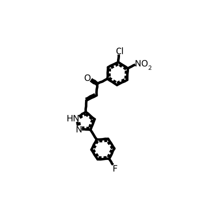 O=C(C=Cc1cc(-c2ccc(F)cc2)n[nH]1)c1ccc([N+](=O)[O-])c(Cl)c1